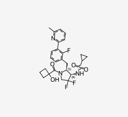 Cc1cccc(-c2cccc(C[C@H]3[C@@H](NS(=O)(=O)C4CC4)C(F)(F)CN3C(=O)C3(O)CCC3)c2F)n1